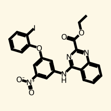 CCOC(=O)c1nc(Nc2cc(Oc3ccccc3I)cc([N+](=O)[O-])c2)c2ccccc2n1